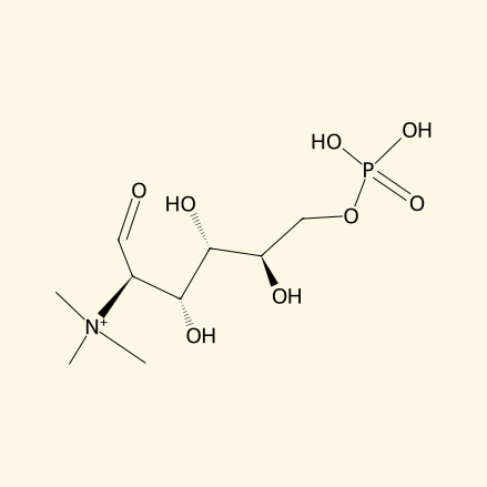 C[N+](C)(C)[C@@H](C=O)[C@@H](O)[C@H](O)[C@H](O)COP(=O)(O)O